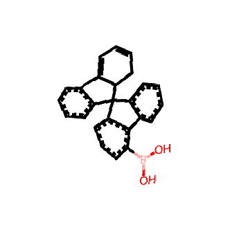 OB(O)c1cccc2c1-c1ccccc1C21c2ccccc2C2=CC=CCC21